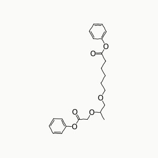 CC(COCCCCCC(=O)Oc1ccccc1)OCC(=O)Oc1ccccc1